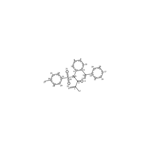 C=C(C)C(=O)N(c1ccccc1C(=C)c1ccccc1)S(=O)(=O)c1ccc(C)cc1